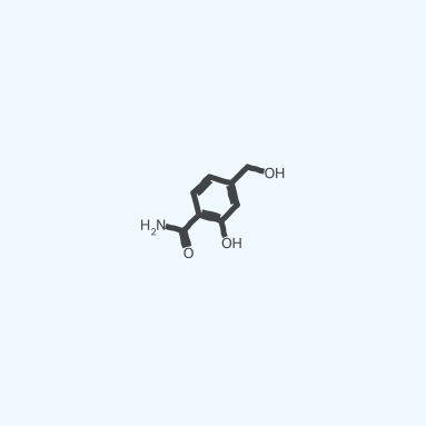 NC(=O)c1ccc(CO)cc1O